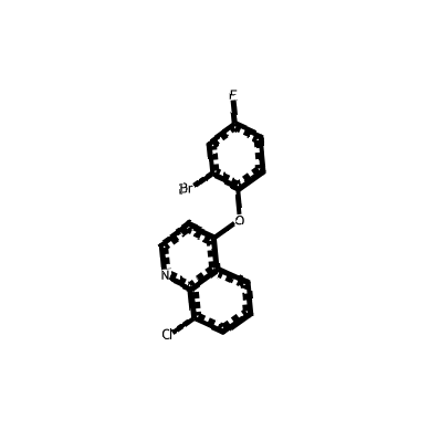 Fc1ccc(Oc2ccnc3c(Cl)cccc23)c(Br)c1